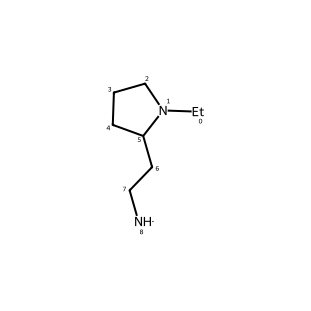 CCN1CCCC1CC[NH]